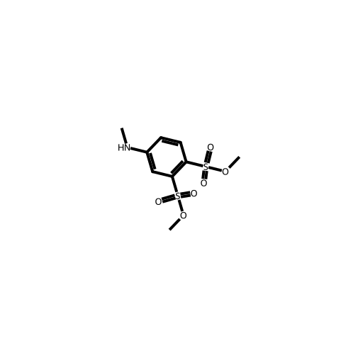 CNc1ccc(S(=O)(=O)OC)c(S(=O)(=O)OC)c1